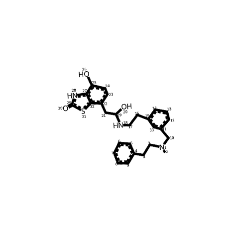 CN(CCc1ccccc1)Cc1cccc(CCNC(O)Cc2ccc(O)c3[nH]c(=O)sc23)c1